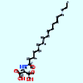 CCCCCCCCCCCCCCCCCC(=O)NC(C(=O)O)C(=O)O